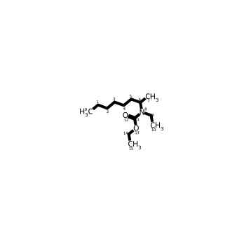 CCCCCCC(C)N(CC)C(=O)OCC